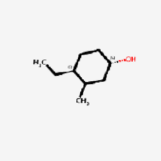 CC[C@H]1CC[C@H](O)CC1C